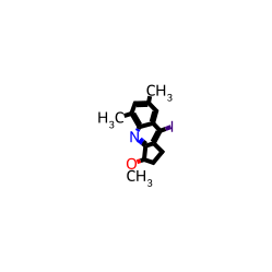 COC1CCc2c1nc1c(C)cc(C)cc1c2I